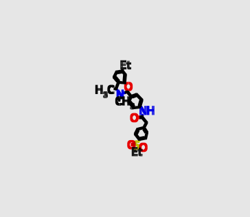 CCc1ccc(C(C)N(C)C(=O)c2ccc(NC(=O)Cc3ccc(S(=O)(=O)CC)cc3)cc2)cc1